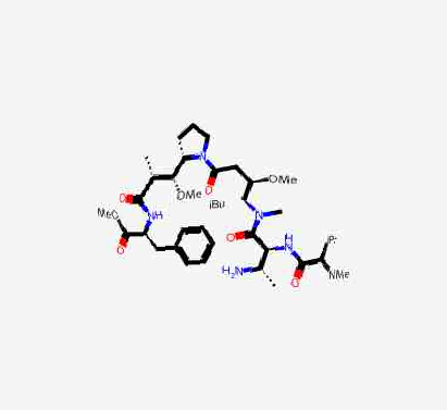 CC[C@H](C)[C@@H]([C@@H](CC(=O)N1CCC[C@H]1[C@H](OC)[C@@H](C)C(=O)N[C@@H](Cc1ccccc1)C(=O)OC)OC)N(C)C(=O)[C@@H](NC(=O)C(NC)C(C)C)[C@H](C)N